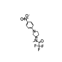 CN(C(=O)C(F)(F)F)[C@@H]1CCN(c2ccc([N+](=O)[O-])cc2)C1